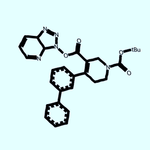 CC(C)(C)OC(=O)N1CCC(c2cccc(-c3ccccc3)c2)=C(C(=O)ON2N=NC3C=CC=NC32)C1